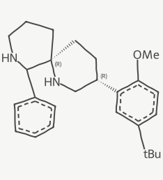 COc1ccc(C(C)(C)C)cc1[C@H]1CC[C@]2(CCCNC2c2ccccc2)NC1